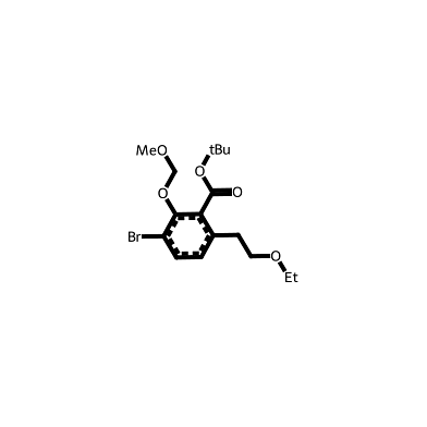 CCOCCc1ccc(Br)c(OCOC)c1C(=O)OC(C)(C)C